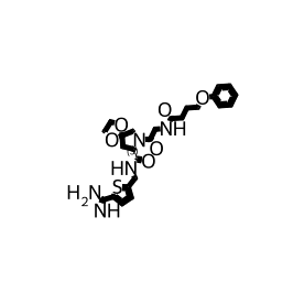 N=C(N)c1ccc(CNC(=O)[C@@H]2CC3(CN2C(=O)CNC(=O)CCCOc2ccccc2)OCCO3)s1